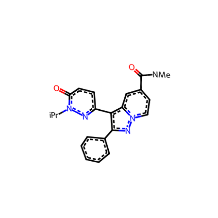 CNC(=O)c1ccn2nc(-c3ccccc3)c(-c3ccc(=O)n(C(C)C)n3)c2c1